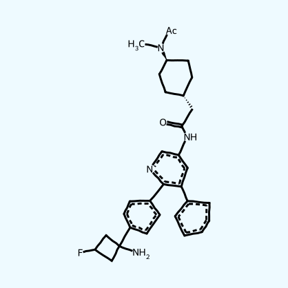 CC(=O)N(C)[C@H]1CC[C@H](CC(=O)Nc2cnc(-c3ccc(C4(N)CC(F)C4)cc3)c(-c3ccccc3)c2)CC1